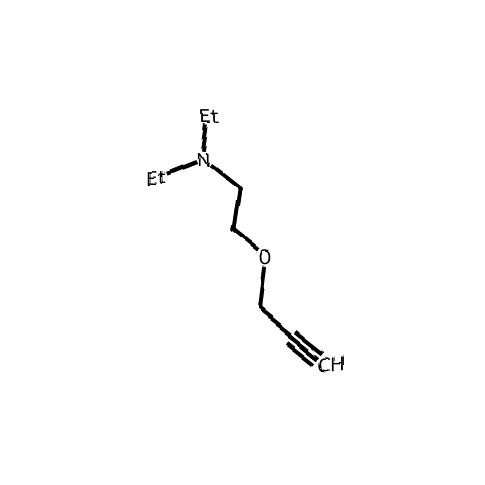 C#CCOCCN(CC)CC